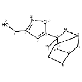 OCc1cc(C23CC4CC(CC(C4)C2)C3)on1